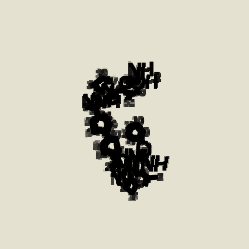 CC(C)[C@H](NC(=N)Oc1ccccc1)C(=O)N1CCC[C@H]1c1ncc(-c2ccc(-c3ccc(-c4cnc([C@@H]5CCCN5C(=O)[C@@H](OC(N)O)C(C)C)[nH]4)cc3)cc2)[nH]1